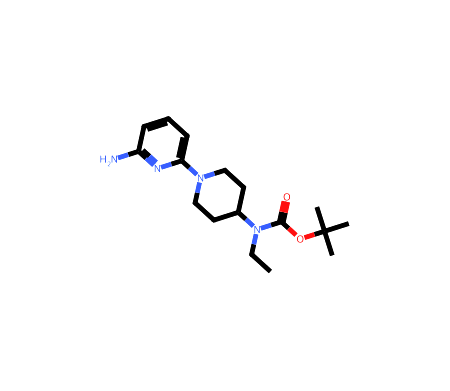 CCN(C(=O)OC(C)(C)C)C1CCN(c2cccc(N)n2)CC1